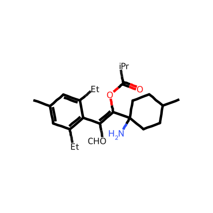 CCc1cc(C)cc(CC)c1/C(C=O)=C(\OC(=O)C(C)C)C1(N)CCC(C)CC1